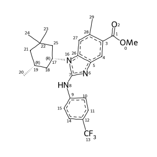 COC(=O)c1cc2nc(Nc3ccc(C(F)(F)F)cc3)n([C@@H]3C[C@H](C)CC(C)(C)C3)c2cc1C